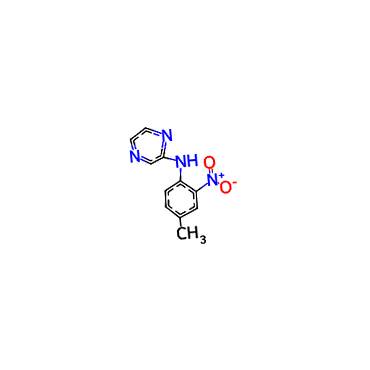 Cc1ccc(Nc2cnccn2)c([N+](=O)[O-])c1